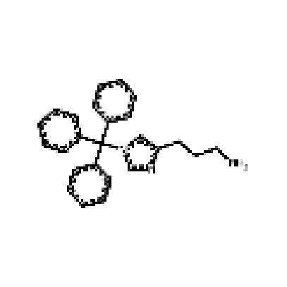 NCCCc1cn(C(c2ccccc2)(c2ccccc2)c2ccccc2)cn1